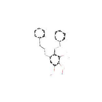 COc1[c]c(CCCc2ccccc2)c(CCc2ccccc2)c(OC)c1OC